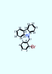 Brc1ccccc1Cn1c2ccccc2c2ccccc21